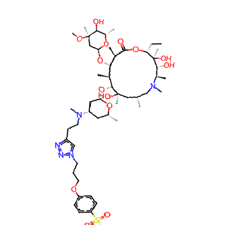 CC[C@H]1OC(=O)[C@H](C)[C@@H](O[C@H]2C[C@@](C)(OC)[C@@H](O)[C@H](C)O2)[C@H](C)[C@@H](O[C@H]2C[C@@H](N(C)CCc3cn(CCCOc4ccc(S(=O)(=O)CF)cc4)nn3)C[C@@H](C)O2)[C@](C)(O)C[C@@H](C)CN(C)[C@H](C)[C@@H](O)[C@]1(C)O